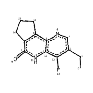 CCc1cnc2c3c(c(=O)[nH]c2c1F)CCC3